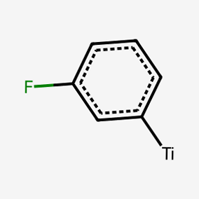 Fc1ccc[c]([Ti])c1